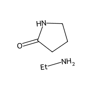 CCN.O=C1CCCN1